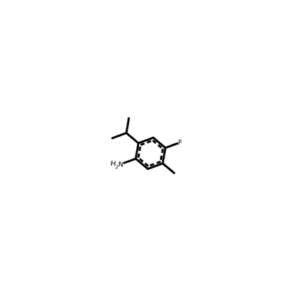 Cc1cc(N)c(C(C)C)cc1F